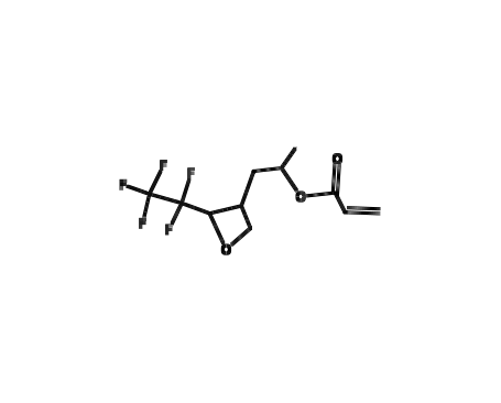 C=CC(=O)OC(C)CC1COC1C(F)(F)C(F)(F)F